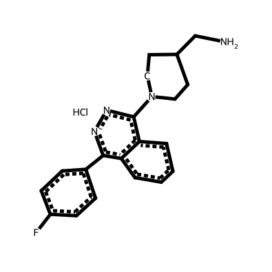 Cl.NCC1CCN(c2nnc(-c3ccc(F)cc3)c3ccccc23)CC1